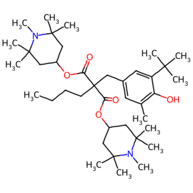 CCCCC(Cc1cc(C)c(O)c(C(C)(C)C)c1)(C(=O)OC1CC(C)(C)N(C)C(C)(C)C1)C(=O)OC1CC(C)(C)N(C)C(C)(C)C1